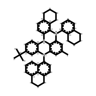 Cc1cc2c3c(c1)N(c1ccc4c5c(cccc15)CCC4)c1cc(C(C)(C)C)ccc1B3c1ccc3c(c1N2c1cccc2c1CCCC2)CCCC3